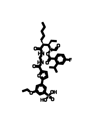 CCCCC[C@@H](C(=O)NCNC(=O)c1ccc(-c2cc(OCC)cc(P(=O)(O)O)c2)o1)[C@@H](CC)N(C=O)OC(=O)c1ccc(F)cc1C(C)C